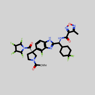 COC(=O)N1CC[C@@](C(=O)N2C(F)C(F)C(F)C2F)(c2ccc3[nH]c([C@@H](NC(=O)c4nonc4C)C4CCC(F)(F)CC4)nc3c2F)C1